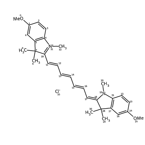 COc1ccc2c(c1)C(C)(C)C(/C=C/C=C/C=C/C=C1\N(C)c3ccc(OC)cc3C1(C)C)=[N+]2C.[Cl-]